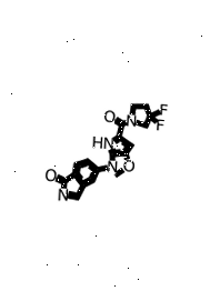 O=C1N=Cc2cc(N3COc4cc(C(=O)N5CCC(F)(F)C5)[nH]c43)ccc21